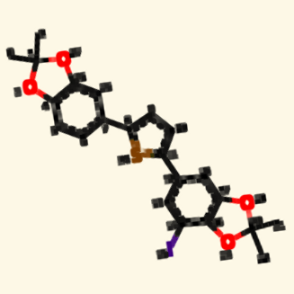 CC1(C)Oc2ccc(-c3ccc(-c4cc(I)c5c(c4)OC(C)(C)O5)s3)cc2O1